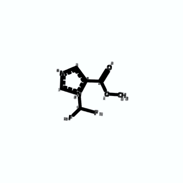 COC(=O)c1cncn1C(F)F